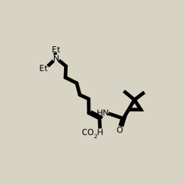 CCN(CC)CCCCC/C=C(\NC(=O)C1CC1(C)C)C(=O)O